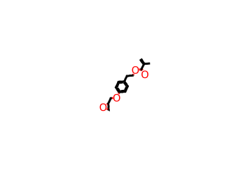 C=C(C)C(=O)OCCc1ccc(OCC2CO2)cc1